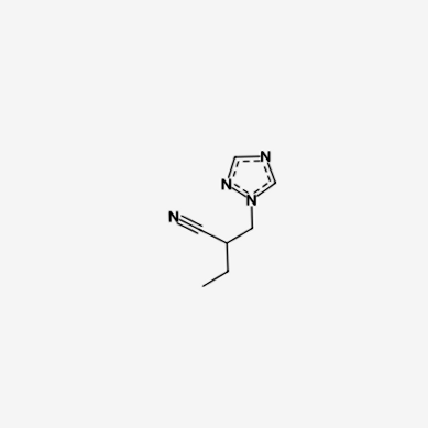 CCC(C#N)Cn1cncn1